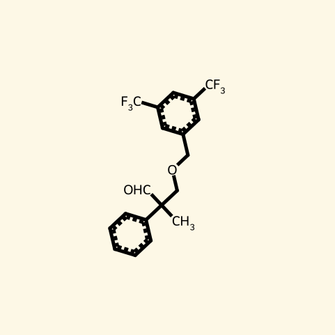 CC(C=O)(COCc1cc(C(F)(F)F)cc(C(F)(F)F)c1)c1ccccc1